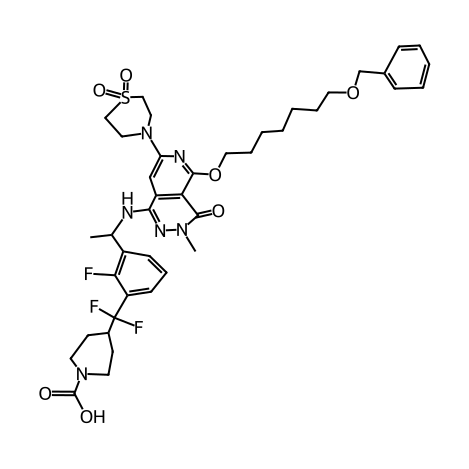 CC(Nc1nn(C)c(=O)c2c(OCCCCCCCOCc3ccccc3)nc(N3CCS(=O)(=O)CC3)cc12)c1cccc(C(F)(F)C2CCN(C(=O)O)CC2)c1F